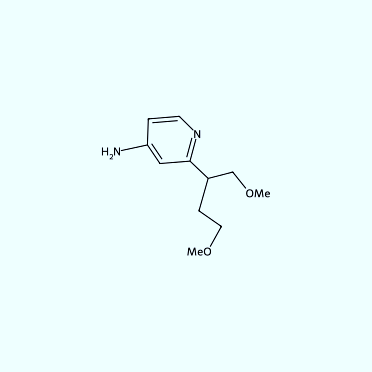 COCCC(COC)c1cc(N)ccn1